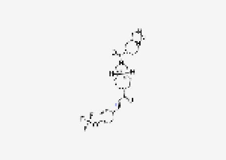 O=C(/C=C/c1ccc(OC(F)(F)F)cc1)N1CC[C@@H]2CN(C(=O)N3CCn4nncc4C3)C[C@@H]2CC1